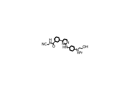 CCCN(CCO)c1ccc(Nc2nccc(-c3cccc(C(=O)NCC#N)c3)n2)cc1